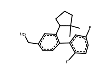 CC1(C)CCCC1c1cc(CO)ccc1-c1cc(F)ccc1F